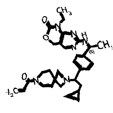 C=CC(=O)N1CCC2(CC1)CN(C(CC1CC1)c1ccc([C@H](C)Nc3ncc4c(n3)N(CC)C(=O)OC4)cc1)C2